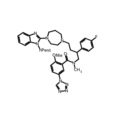 CCCCCn1c(N2CCCN(CCC(CN(C)C(=O)c3cc(-n4cnnn4)ccc3OC)c3ccc(F)cc3)CC2)nc2ccccc21